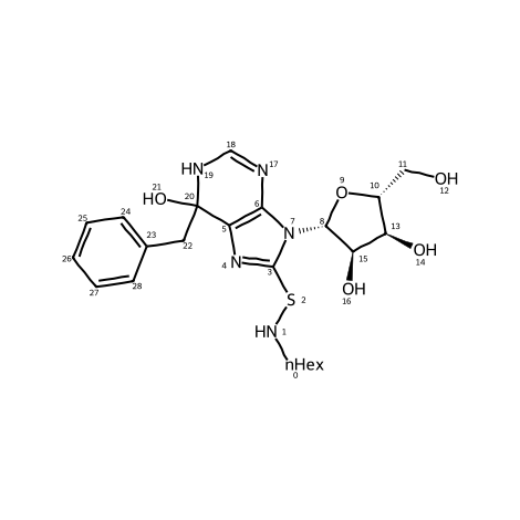 CCCCCCNSc1nc2c(n1[C@@H]1O[C@H](CO)[C@@H](O)[C@H]1O)N=CNC2(O)Cc1ccccc1